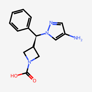 Nc1cnn([C@H](c2ccccc2)C2CN(C(=O)O)C2)c1